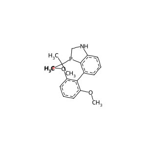 COc1cccc(OC)c1-c1cccc2c1P(C(C)(C)C)CN2